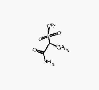 CCCS(=O)(=O)C(C)C(N)=O